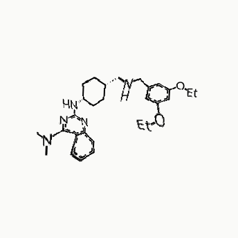 CCOc1cc(CNC[C@H]2CC[C@@H](Nc3nc(N(C)C)c4ccccc4n3)CC2)cc(OCC)c1